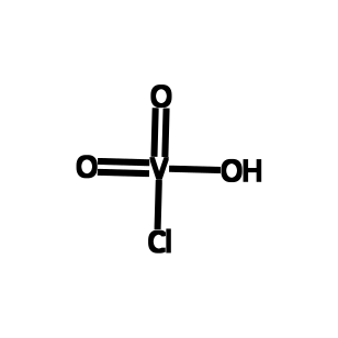 [O]=[V](=[O])([OH])[Cl]